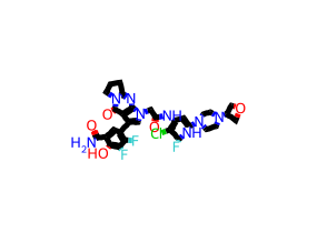 NC(=O)c1cc(-c2cn(CC(=O)NC3=C(Cl)C(F)NC(N4CCN(C5COC5)CC4)=C3)c3nc4n(c(=O)c23)CCC4)c(F)c(F)c1O